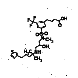 CN(CC(O)CNC(C)(C)CCCc1ccsc1)S(=O)(=O)c1cc(CCCC(=O)O)cc(C(F)(F)F)c1